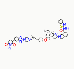 Cc1c(OC2CCC(CC[C@@H](C)CN3CCN(c4nc5ccc(C6CCC(=O)NC6=O)cc5n4C)CC3)CC2)cccc1-c1ccc(N2CCc3cccc(C(=O)Nc4nc5ccccc5s4)c3C2)nc1C(=O)O